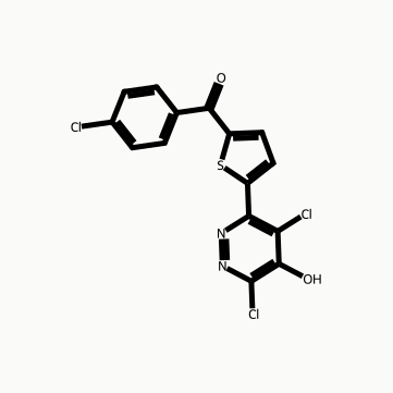 O=C(c1ccc(Cl)cc1)c1ccc(-c2nnc(Cl)c(O)c2Cl)s1